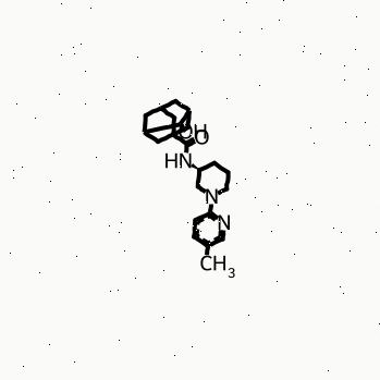 Cc1ccc(N2CCC[C@H](NC(=O)C34CC5CC(C3)C(O)C(C5)C4)C2)nc1